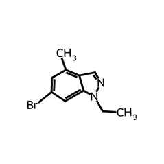 CCn1ncc2c(C)cc(Br)cc21